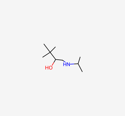 CC(C)NCC(O)C(C)(C)C